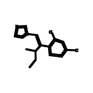 CCC(C)/C(=C\n1ccnc1)c1ccc(Cl)cc1Cl